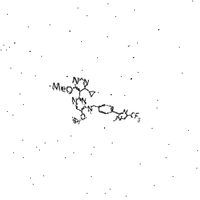 COc1ncnc(C2CC2)c1-c1ncc(OC(C)C)c(N(C)Cc2ccc(-c3nc(C(F)(F)F)cn3C)cc2)n1